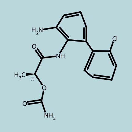 C[C@H](OC(N)=O)C(=O)Nc1c(N)cccc1-c1ccccc1Cl